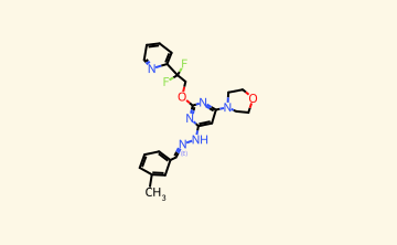 Cc1cccc(/C=N/Nc2cc(N3CCOCC3)nc(OCC(F)(F)c3ccccn3)n2)c1